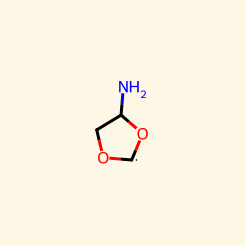 NC1CO[CH]O1